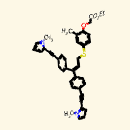 CCOC(=O)COc1ccc(SCC=C(c2ccc(C#Cc3cccn3C)cc2)c2ccc(C#Cc3cccn3C)cc2)cc1C